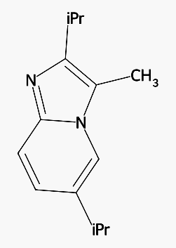 Cc1c(C(C)C)nc2ccc(C(C)C)cn12